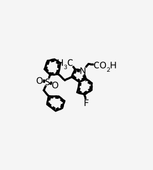 Cc1c(Cc2ccccc2S(=O)(=O)Cc2ccccc2)c2cc(F)ccc2n1CC(=O)O